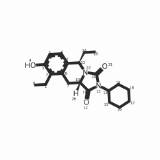 CCc1c(O)ccc2c1C[C@H]1C(=O)N(C3CCCCC3)C(=O)N1[C@@H]2CC